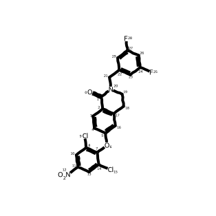 O=C1c2ccc(Oc3c(Cl)cc([N+](=O)[O-])cc3Cl)cc2CCN1Cc1cc(F)cc(F)c1